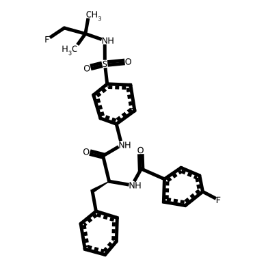 CC(C)(CF)NS(=O)(=O)c1ccc(NC(=O)[C@H](Cc2ccccc2)NC(=O)c2ccc(F)cc2)cc1